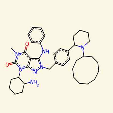 Cn1c(=O)c2c(Nc3ccccc3)n(Cc3ccc(C4CCCCN4C4CCCCCCCCC4)cc3)nc2n(C2CCCCC2N)c1=O